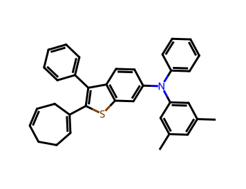 Cc1cc(C)cc(N(c2ccccc2)c2ccc3c(-c4ccccc4)c(C4=CCCC=CC4)sc3c2)c1